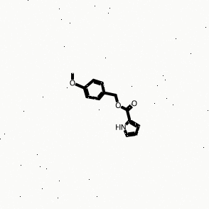 COc1ccc(COC(=O)c2ccc[nH]2)cc1